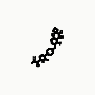 CNC(=O)c1ccc(N2CCN(Cc3ccc4c(c3F)NC(=O)C3(CCC3)O4)CC2)c(C)n1